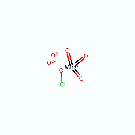 [O-2].[O-2].[O]=[Mn+4](=[O])(=[O])[O]Cl